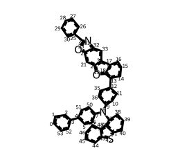 c1ccc(-c2ccc(N(c3ccc(-c4cccc5c4oc4cc6oc(-c7ccccc7)nc6cc45)cc3)c3cccc4sc5ccccc5c34)cc2)cc1